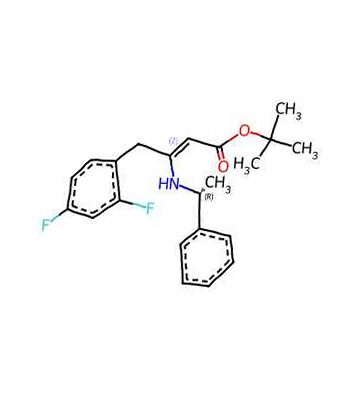 C[C@@H](N/C(=C\C(=O)OC(C)(C)C)Cc1ccc(F)cc1F)c1ccccc1